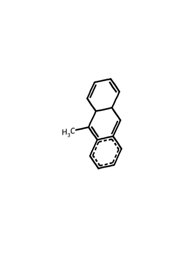 CC1=c2ccccc2=CC2C=CC=CC12